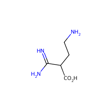 N=C(N)C(CCN)C(=O)O